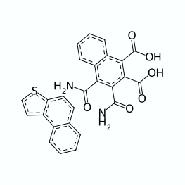 NC(=O)c1c(C(=O)O)c(C(=O)O)c2ccccc2c1C(N)=O.c1ccc2c(c1)ccc1sccc12